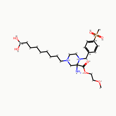 COCCOC(=O)C1(N)CN(CCCCCCCCB(O)O)CCN1Cc1ccc(S(C)(=O)=O)cc1